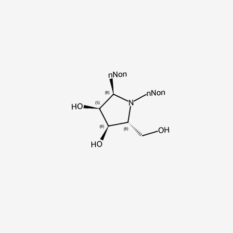 CCCCCCCCC[C@@H]1[C@H](O)[C@H](O)[C@@H](CO)N1CCCCCCCCC